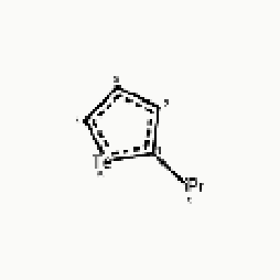 CC(C)c1ccc[te]1